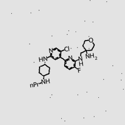 CCCN[C@H]1CC[C@H](Nc2cc(-c3ccc(F)c(NCC4(N)CCOCC4)n3)c(Cl)cn2)CC1